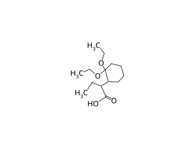 CCOC1(OCC)CCCCC1C(CC)C(=O)O